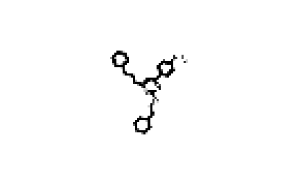 Nc1ccc(-c2cc(CCCc3ccccc3)nc(OCCC3CCCCC3)n2)cc1